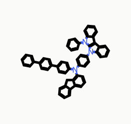 c1ccc(-c2ccc(-c3ccc(N(c4ccc(-n5c6ccccc6c6c7ccccc7n(-c7ccccc7)c65)cc4)c4cccc5c4Cc4ccccc4-5)cc3)cc2)cc1